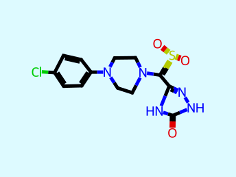 O=c1[nH]nc(C(N2CCN(c3ccc(Cl)cc3)CC2)=S(=O)=O)[nH]1